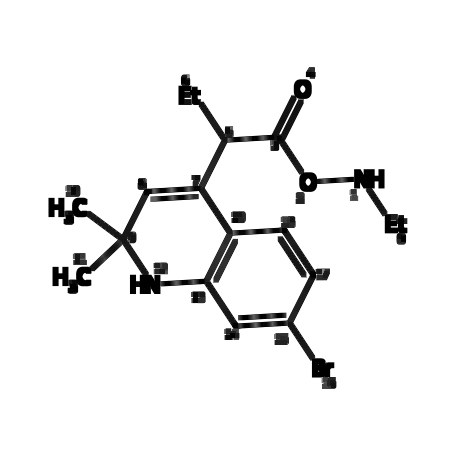 CCNOC(=O)C(CC)C1=CC(C)(C)Nc2cc(Br)ccc21